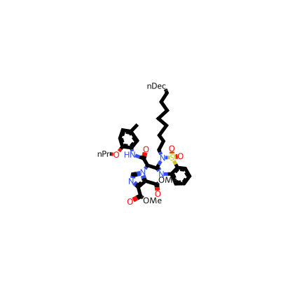 CCCCCCCCCCCCCCCCCCN1C(C(C(=O)Nc2cc(C)ccc2OCCC)n2cnc(C(=O)OC)c2C(=O)OC)=Nc2ccccc2S1(=O)=O